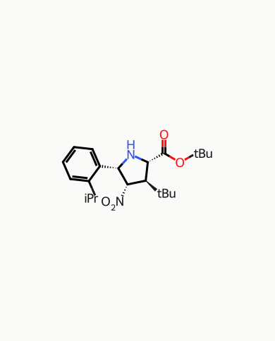 CC(C)c1ccccc1[C@@H]1N[C@H](C(=O)OC(C)(C)C)[C@@H](C(C)(C)C)[C@@H]1[N+](=O)[O-]